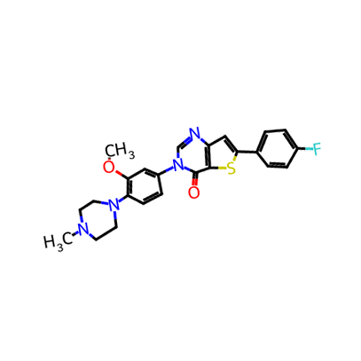 COc1cc(-n2cnc3cc(-c4ccc(F)cc4)sc3c2=O)ccc1N1CCN(C)CC1